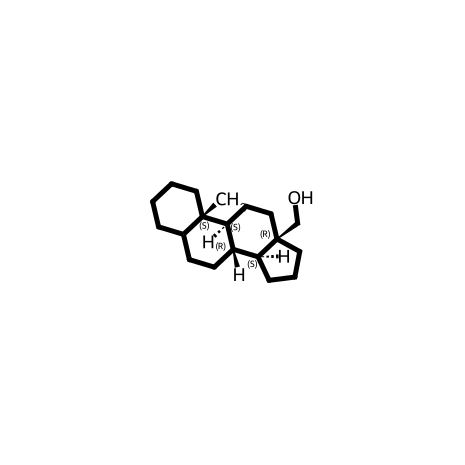 C[C@]12CCCCC1CC[C@H]1[C@@H]3CCC[C@@]3(CO)CC[C@@H]12